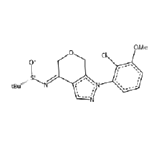 COc1cccc(-n2ncc3c2COCC3=N[S@@+]([O-])C(C)(C)C)c1Cl